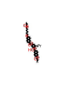 C=CC(=O)OCCCCCCOc1ccc2cc(C(=O)Oc3ccc(OC(O)c4ccc5cc(OC(=O)C=C)ccc5c4)c(CCC)c3)ccc2c1